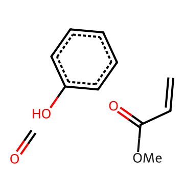 C=CC(=O)OC.C=O.Oc1ccccc1